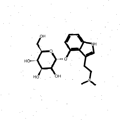 CN(C)CCc1c[nH]c2cccc(O[C@H]3O[C@H](CO)[C@@H](O)[C@H](O)C3O)c12